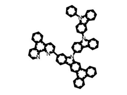 c1ccc(-n2c3ccccc3c3cc(-n4c5ccccc5c5cc(-n6c7cc(-c8ccc9c%10ccccc%10c%10cccnc%10c9n8)ccc7c7cc8c9ccccc9c9ccccc9c8cc76)ccc54)ccc32)cc1